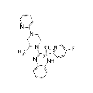 CC1CN(c2ccccn2)CCN1C1=Nc2ccccc2N[C@@]1(C(=O)O)c1ccc(F)cc1